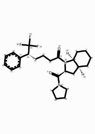 O=C([C@@H]1C[C@@H]2CCCC[C@@H]2N1C(=O)CCC[C@H](c1ccccc1)C(F)(F)F)N1CCCC1